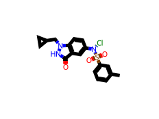 Cc1cccc(S(=O)(=O)N(Cl)c2ccc3c(c2)c(=O)[nH]n3CC2CC2)c1